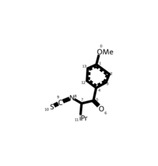 COc1ccc(C(=O)C(N=C=S)C(C)C)cc1